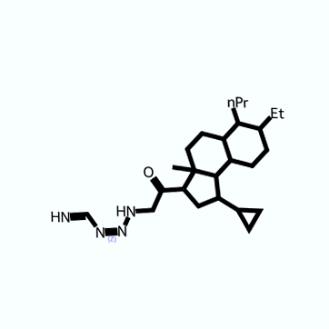 CCCC1C(CC)CCC2C1CCC1(C)C(C(=O)CN/N=N\C=N)CC(C3CC3)C21